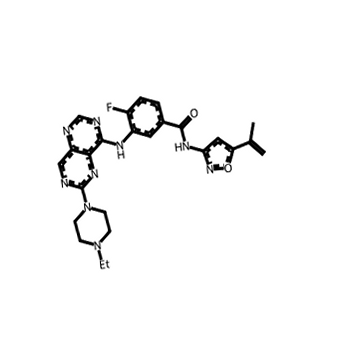 C=C(C)c1cc(NC(=O)c2ccc(F)c(Nc3ncnc4cnc(N5CCN(CC)CC5)nc34)c2)no1